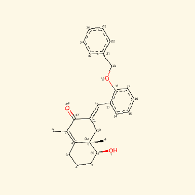 CC1=C2CCC[C@H](O)[C@@]2(C)CC(=Cc2ccccc2OCc2ccccc2)C1=O